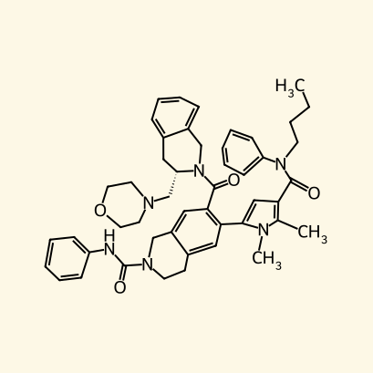 CCCCN(C(=O)c1cc(-c2cc3c(cc2C(=O)N2Cc4ccccc4C[C@H]2CN2CCOCC2)CN(C(=O)Nc2ccccc2)CC3)n(C)c1C)c1ccccc1